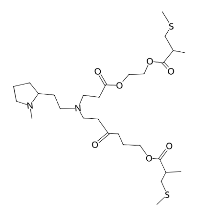 CSCC(C)C(=O)OCCCC(=O)CCN(CCC(=O)OCCOC(=O)C(C)CSC)CCC1CCCN1C